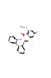 COc1ccc(C(=O)N2c3cc(F)ccc3-c3ccccc3C2C)c(OC)c1